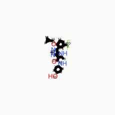 Cc1[nH]c2c(-c3cc(C(F)F)ccc3OCC3CC3)ncnc2c1C(=O)N[C@H]1CC[C@H](O)CC1